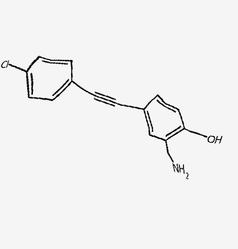 Nc1cc(C#Cc2ccc(Cl)cc2)ccc1O